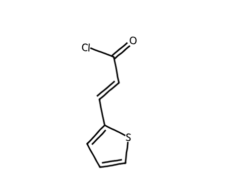 O=C(Cl)C=Cc1cccs1